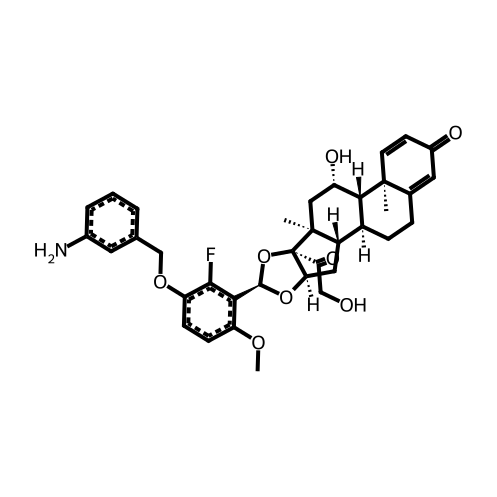 COc1ccc(OCc2cccc(N)c2)c(F)c1[C@@H]1O[C@@H]2C[C@H]3[C@@H]4CCC5=CC(=O)C=C[C@]5(C)[C@H]4[C@@H](O)C[C@]3(C)[C@]2(C(=O)CO)O1